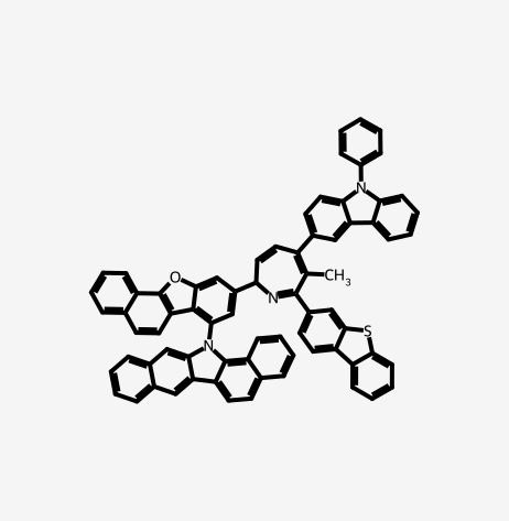 CC1=C(c2ccc3c(c2)c2ccccc2n3-c2ccccc2)C=CC(c2cc(-n3c4cc5ccccc5cc4c4ccc5ccccc5c43)c3c(c2)oc2c4ccccc4ccc23)N=C1c1ccc2c(c1)sc1ccccc12